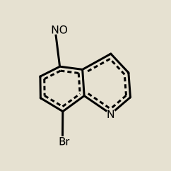 O=Nc1ccc(Br)c2ncccc12